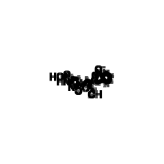 O=C(O)Nc1ccn([C@H]2C[C@H](OCc3ccccc3[N+](=O)[O-])[C@@H](CO)O2)c(=O)n1